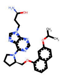 CC(C)Oc1ccc2cccc(OC[C@H]3CCCN3c3ncnc4c3ncn4CC[C@@H](N)O)c2c1